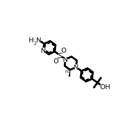 C[C@H]1CN(S(=O)(=O)c2ccc(N)nc2)CCN1c1ccc(C(C)(C)O)cc1